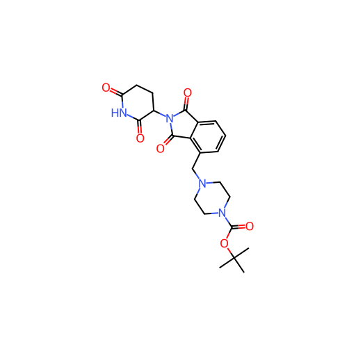 CC(C)(C)OC(=O)N1CCN(Cc2cccc3c2C(=O)N(C2CCC(=O)NC2=O)C3=O)CC1